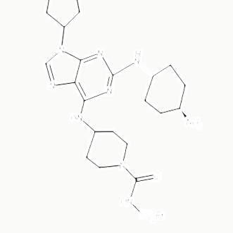 CCOC(=O)NC(=O)N1CCC(Nc2nc(N[C@H]3CC[C@H](N)CC3)nc3c2ncn3C2CCCC2)CC1